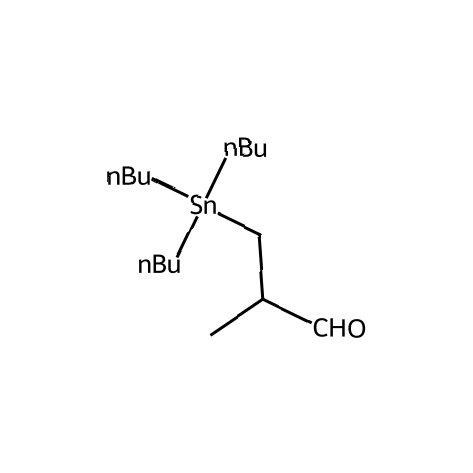 CCC[CH2][Sn]([CH2]CCC)([CH2]CCC)[CH2]C(C)C=O